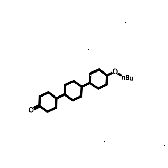 CCCCOC1CCC(C2CCC(C3CCC(=O)CC3)CC2)CC1